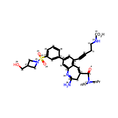 CCCN(CCC)C(=O)C1=Cc2c(C#CCCNC(=O)O)cc(-c3cccc(S(=O)(=O)N4CC(CO)C4)c3)cc2N=C(N)C1